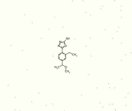 CCc1cc(C(C)OC)ccc1-c1nnc(S)o1